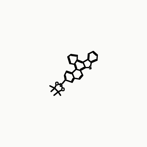 CC1(C)OB(c2ccc3c(ccc4c5sc6ccccc6c5c5ccccc5c34)c2)OC1(C)C